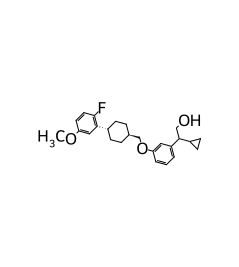 COc1ccc(F)c([C@H]2CC[C@H](COc3cccc(C(CO)C4CC4)c3)CC2)c1